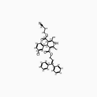 CC1=C(C(=O)OCC=C(c2ccccc2)c2ccccc2)C(c2cccc(Cl)c2)C(C(=O)OCCC#N)=C(C)N1